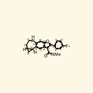 CNC(=O)c1c(-c2ccc(F)cc2)oc2cc3c(cc12)[C@@H]1C[C@@H]1CCN3